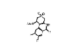 CNC1CS(=O)(=O)Cc2[nH]c(=O)c3cc(F)c(F)cc3c21